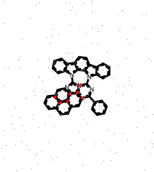 c1ccc(-c2nc(-c3ccccc3)nc(-n3c4ccccc4c4ccc5c6ccccc6n(-c6nc7c(ccc8ccc9ccccc9c87)o6)c5c43)n2)cc1